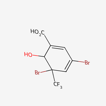 O=C(O)C1=CC(Br)=CC(Br)(C(F)(F)F)C1O